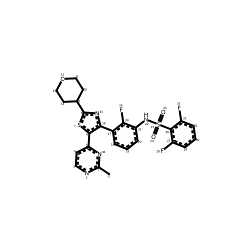 Cc1nccc(-c2sc(C3CCOCC3)nc2-c2cccc(NS(=O)(=O)c3c(F)cccc3F)c2F)n1